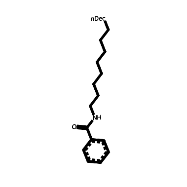 CCCCCCCCCCCCCCCCCCNC(=O)c1ccccc1